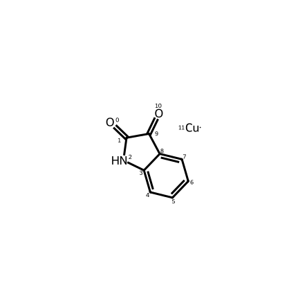 O=C1Nc2ccccc2C1=O.[Cu]